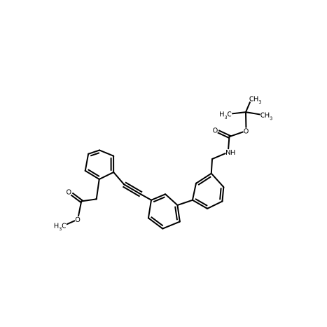 COC(=O)Cc1ccccc1C#Cc1cccc(-c2cccc(CNC(=O)OC(C)(C)C)c2)c1